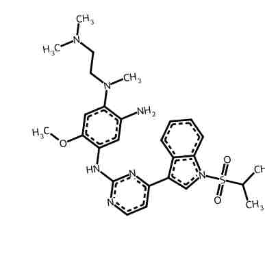 COc1cc(N(C)CCN(C)C)c(N)cc1Nc1nccc(-c2cn(S(=O)(=O)C(C)C)c3ccccc23)n1